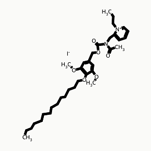 CCCCCCCCCCCCCCOc1c(OC)cc(COC(=O)N(Cc2cccc[n+]2CCC)C(C)=O)cc1OC.[I-]